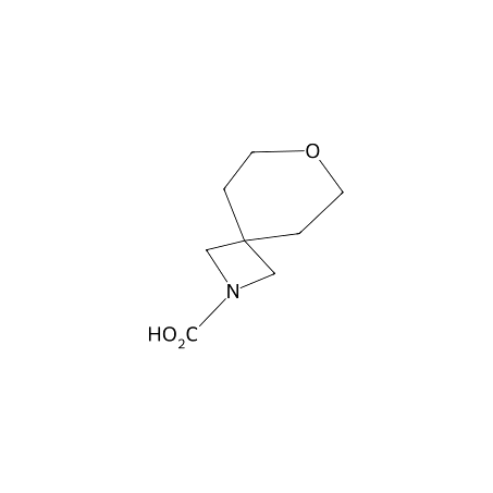 O=C(O)N1CC2(CCOCC2)C1